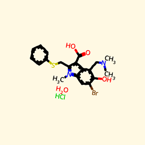 CN(C)Cc1c(O)c(Br)cc2c1c(C(=O)O)c(CSc1ccccc1)n2C.Cl.O